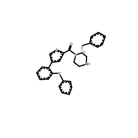 O=C(c1cc(-c2ccccc2Oc2ccccc2)cs1)N1CCNC[C@H]1Cc1ccccc1